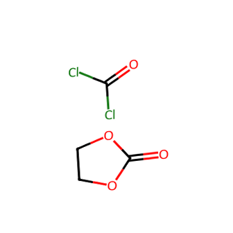 O=C(Cl)Cl.O=C1OCCO1